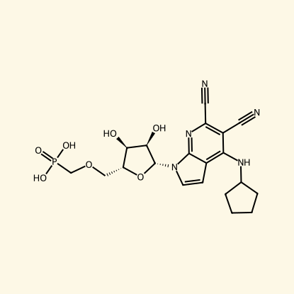 N#Cc1nc2c(ccn2[C@@H]2O[C@H](COCP(=O)(O)O)[C@@H](O)[C@H]2O)c(NC2CCCC2)c1C#N